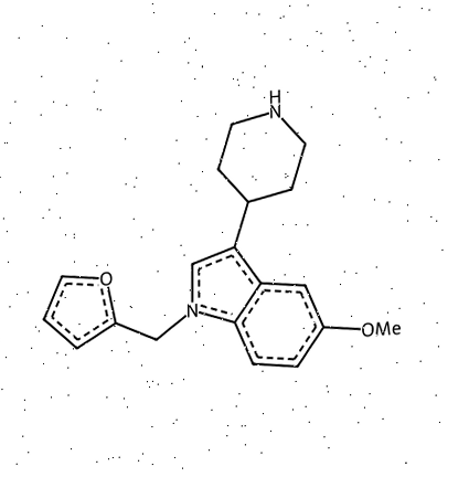 COc1ccc2c(c1)c(C1CCNCC1)cn2Cc1ccco1